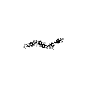 Cc1c(NC(=O)c2nc3c(n2C)CCN(CC(C)O)C3)cccc1-c1cccc(NC(=O)c2nc3c(n2C)CCN(CCC24CCC(C(=O)O)(CC2)C4)C3)c1Cl